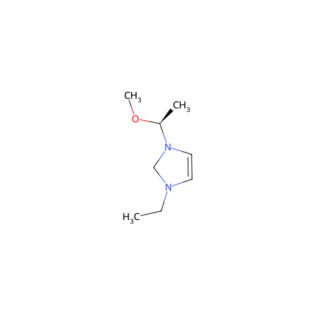 CCN1C=CN([C@H](C)OC)C1